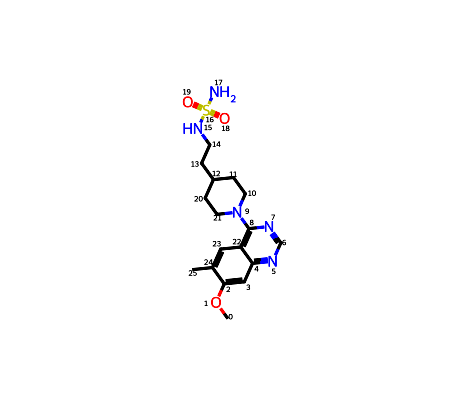 COc1cc2ncnc(N3CCC(CCNS(N)(=O)=O)CC3)c2cc1C